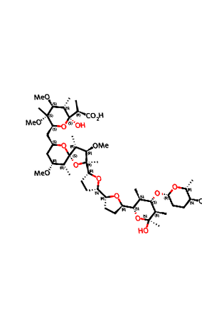 CO[C@H]1CC[C@H](O[C@H]2[C@H](C)[C@@H]([C@H]3CC[C@H]([C@@H]4CC[C@H]([C@@]5(C)O[C@]6(O[C@H](C[C@@H]7O[C@](O)([C@@H](C)C(=O)O)[C@@H](C)[C@H](OC)[C@@]7(C)OC)C[C@@H](OC)[C@H]6C)[C@H](C)[C@H]5OC)O4)O3)O[C@](C)(O)[C@@H]2C)O[C@@H]1C